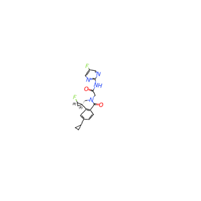 O=C(CN1C[C@@]2(C[C@H]2F)c2cc(C3CC3)ccc2C1=O)Nc1ncc(F)cn1